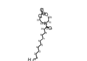 CCCCCCCCCCCC(=O)N1CC[O][Al]([Cl])[O]CC1